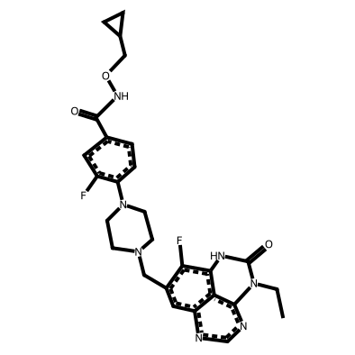 CCN1C(=O)Nc2c(F)c(CN3CCN(c4ccc(C(=O)NOCC5CC5)cc4F)CC3)cc3ncnc1c23